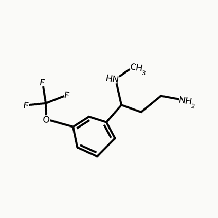 CNC(CCN)c1cccc(OC(F)(F)F)c1